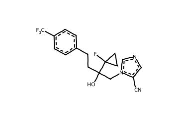 N#Cc1cncn1CC(O)(CCc1ccc(C(F)(F)F)cc1)C1(F)CC1